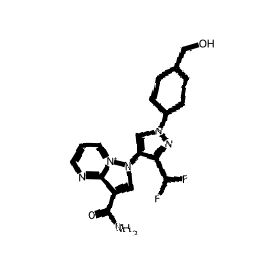 NC(=O)c1cn(-c2cn(C3CCC(CO)CC3)nc2C(F)F)[n+]2cccnc12